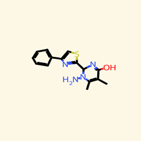 CC1=C(C)N(N)C(c2nc(-c3ccccc3)cs2)N=C1O